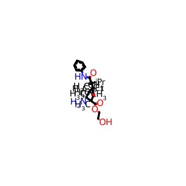 CCC(C)(C)CC(C)(C(=O)OCCO)C(C)(N)C(C)(C)CC(C)(C(=O)Nc1ccccc1)C(C)C